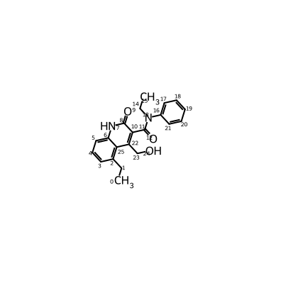 CCc1cccc2[nH]c(=O)c(C(=O)N(CC)c3ccccc3)c(CO)c12